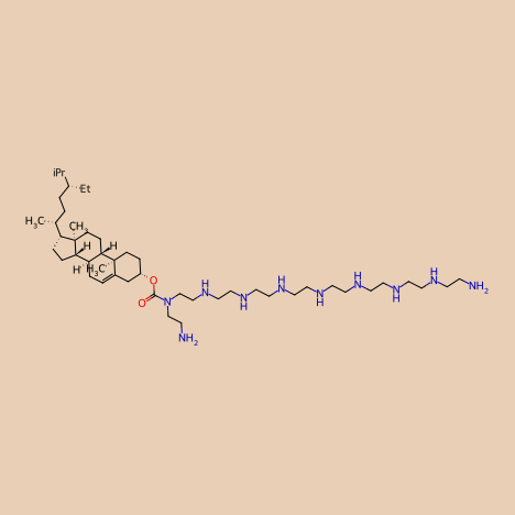 CC[C@H](CC[C@@H](C)[C@H]1CC[C@H]2[C@@H]3CC=C4C[C@@H](OC(=O)N(CCN)CCNCCNCCNCCNCCNCCNCCNCCN)CC[C@]4(C)[C@H]3CC[C@]12C)C(C)C